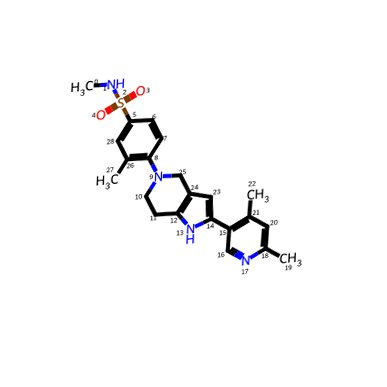 CNS(=O)(=O)c1ccc(N2CCc3[nH]c(-c4cnc(C)cc4C)cc3C2)c(C)c1